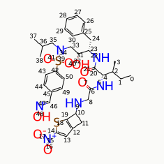 CC[C@H](C)[C@H](NC(=O)CNC1Cc2cc([N+](=O)[O-])sc21)C(=O)N[C@@H](Cc1ccccc1)[C@H](O)CN(CC(C)C)S(=O)(=O)c1ccc(/C=N/O)cc1